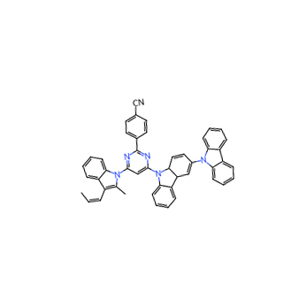 C/C=C\c1c(C)n(-c2cc(N3c4ccccc4C4C=C(n5c6ccccc6c6ccccc65)C=CC43)nc(-c3ccc(C#N)cc3)n2)c2ccccc12